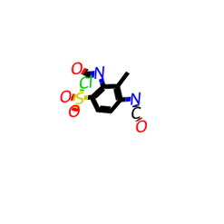 Cc1c(N=C=O)ccc(S(=O)(=O)Cl)c1N=C=O